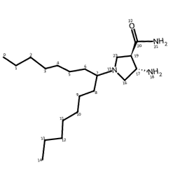 CCCCCCCC(CCCCCCC)N1C[C@@H](N)[C@H](C(N)=O)C1